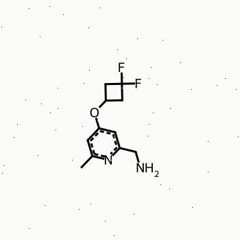 Cc1cc(OC2CC(F)(F)C2)cc(CN)n1